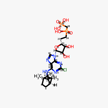 CC1(C)[C@@H]2CC[C@@]1(C)C(Nc1nc(Cl)nc3c1ncn3[C@@H]1O[C@H](CCP(=O)(O)CP(=O)(O)O)C(O)C1O)C2